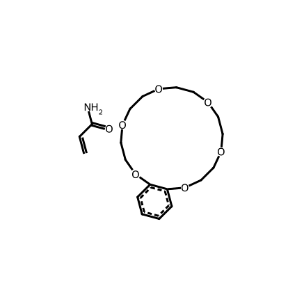 C=CC(N)=O.c1ccc2c(c1)OCCOCCOCCOCCOCCO2